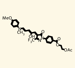 COc1ccc(N(C)/C=C/C=C(O)/C=C2/C(=O)N(c3ccc(C(=O)OCCOC(C)=O)cc3)N=C2C(F)(F)F)cc1